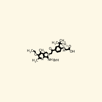 Br.CCOc1c(C)nc2c(c1C)CN(CC(=O)c1ccc(NCC(=O)O)c(C(C)(C)C)c1)C2=N